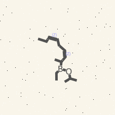 CC/C=C\C/C=C\C(C)B(CC)OC(C)C